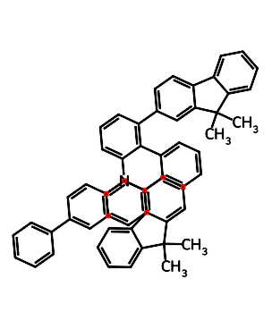 CC1(C)c2ccccc2-c2ccc(-c3cccc(N(c4ccc(-c5ccccc5)cc4)c4cccc5c4-c4ccccc4C5(C)C)c3-c3ccccc3-c3ccccc3)cc21